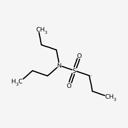 CC[CH]S(=O)(=O)N(CCC)CCC